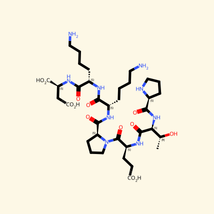 C[C@@H](O)[C@H](NC(=O)[C@@H]1CCCN1)C(=O)N[C@@H](CCC(=O)O)C(=O)N1CCC[C@H]1C(=O)N[C@@H](CCCCN)C(=O)N[C@@H](CCCCN)C(=O)N[C@@H](CC(=O)O)C(=O)O